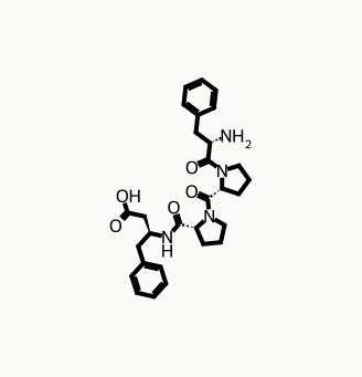 N[C@@H](Cc1ccccc1)C(=O)N1CCC[C@@H]1C(=O)N1CCC[C@@H]1C(=O)N[C@H](CC(=O)O)Cc1ccccc1